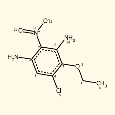 CCOc1c(Cl)cc(N)c([N+](=O)[O-])c1N